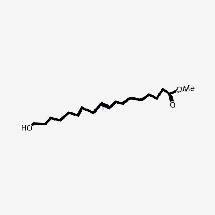 COC(=O)CCCCCCC/C=C/CCCCCCCCO